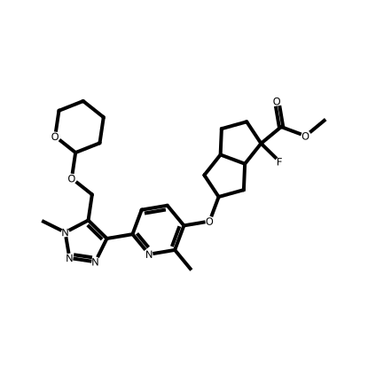 COC(=O)C1(F)CCC2CC(Oc3ccc(-c4nnn(C)c4COC4CCCCO4)nc3C)CC21